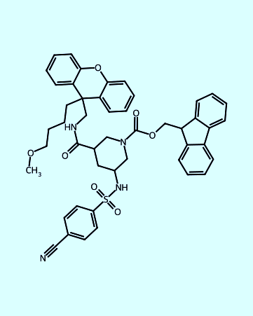 COCCCCC1(CNC(=O)C2CC(NS(=O)(=O)c3ccc(C#N)cc3)CN(C(=O)OCC3c4ccccc4-c4ccccc43)C2)c2ccccc2Oc2ccccc21